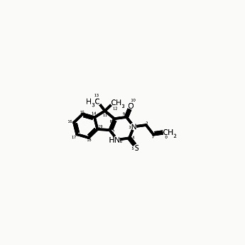 C=CCn1c(=S)[nH]c2c(c1=O)C(C)(C)c1ccccc1-2